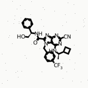 C[C@@H](Nc1nc(C#N)nc2nc(C(=O)N[C@@H](CO)c3ccccc3)n(Cc3ccc(C(F)(F)F)cc3)c12)C1CCC1